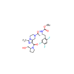 CC(C)(C)OC(=O)N[C@@H](CC(=O)N1CCn2c(C(F)(F)F)nc(C(=O)N3CCC[C@H]3CO)c2C1)Cc1cc(F)c(F)cc1F